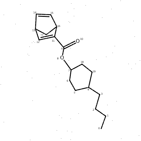 CCCCC1CCC(OC(=O)C2=CC3C=CC2C3)CC1